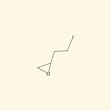 ICCC1CO1